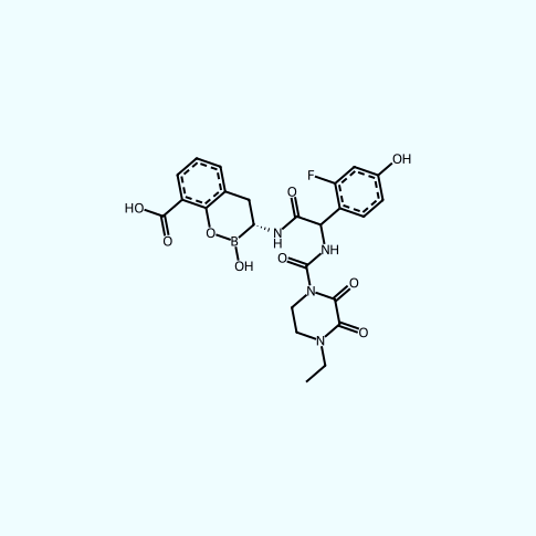 CCN1CCN(C(=O)NC(C(=O)N[C@H]2Cc3cccc(C(=O)O)c3OB2O)c2ccc(O)cc2F)C(=O)C1=O